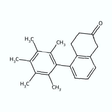 Cc1c(C)c(C)c(-c2cccc3c2CCC(=O)C3)c(C)c1C